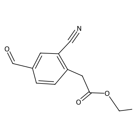 CCOC(=O)Cc1ccc(C=O)cc1C#N